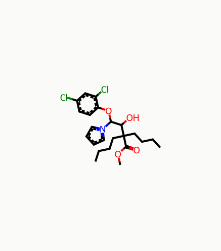 CCCCC(CCCC)(C(=O)OC)C(O)C(Oc1ccc(Cl)cc1Cl)n1cccc1